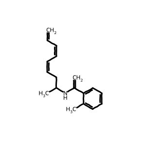 C=C/C=C\C=C/CC(C)NC(=C)c1ccccc1C